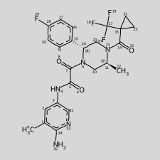 Cc1cc(NC(=O)C(=O)N2C[C@H](C)N(C(=O)C3(C(F)(F)F)CC3)C[C@H]2c2ccc(F)cc2)cnc1N